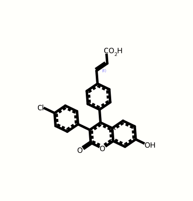 O=C(O)/C=C/c1ccc(-c2c(-c3ccc(Cl)cc3)c(=O)oc3cc(O)ccc23)cc1